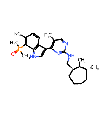 CC1[C@H](CNc2ncc(C(F)(F)F)c(-c3c[nH]c4c(P(C)(C)=O)c(C#N)ccc34)n2)CCCC[C@H]1C